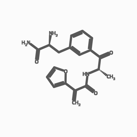 C=C(C(=O)N[C@@H](C)C(=O)c1cccc(C[C@H](N)C(N)=O)c1)c1ccco1